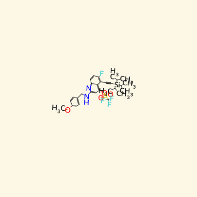 COc1ccc(CNc2cc(OS(=O)(=O)C(F)(F)F)c3c(C#C[Si](C(C)C)(C(C)C)C(C)C)c(F)ccc3n2)cc1